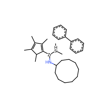 CC1=C(C)C(C)[C]([Zr]([NH]C2CCCCCCCCC2)[SiH](C)C)=C1C.c1ccc(-c2ccccc2)cc1